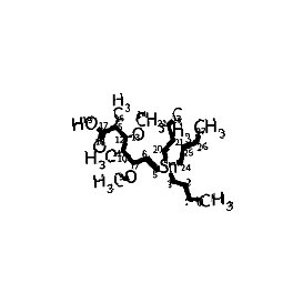 CCC[CH2][Sn](/[CH]=C/[C@H](OC)[C@H](C)[C@@H](OC)[C@@H](C)C(=O)O)([CH2]CCC)[CH2]CCC